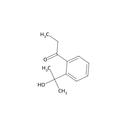 CCC(=O)c1ccccc1C(C)(C)O